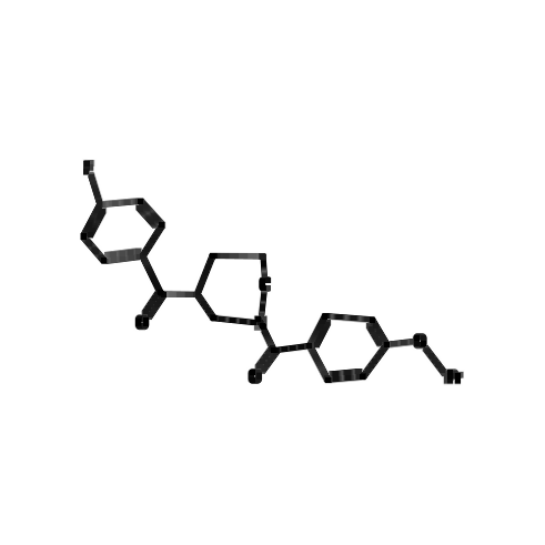 CC(C)Oc1ccc(C(=O)N2CCCC(C(=O)c3ccc(F)cc3)C2)cc1